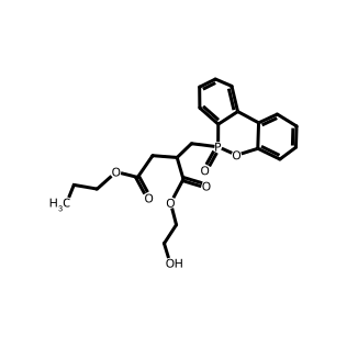 CCCOC(=O)CC(CP1(=O)Oc2ccccc2-c2ccccc21)C(=O)OCCO